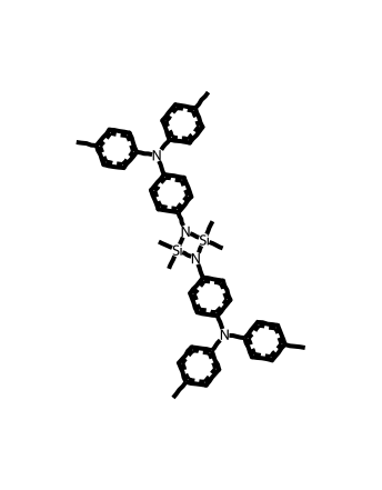 Cc1ccc(N(c2ccc(C)cc2)c2ccc(N3[Si](C)(C)N(c4ccc(N(c5ccc(C)cc5)c5ccc(C)cc5)cc4)[Si]3(C)C)cc2)cc1